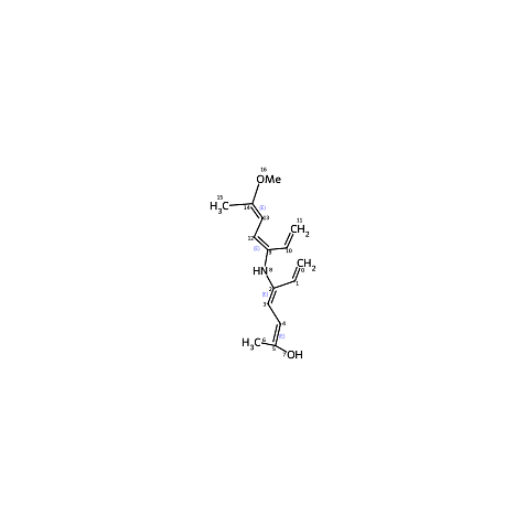 C=C/C(=C\C=C(/C)O)N/C(C=C)=C/C=C(\C)OC